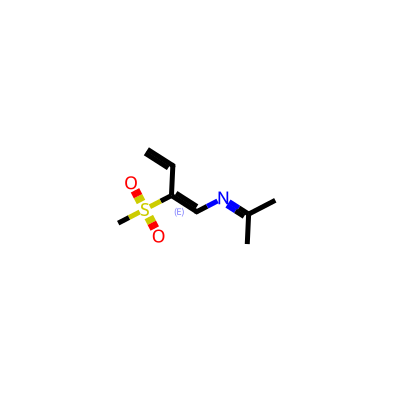 C=C/C(=C\N=C(C)C)S(C)(=O)=O